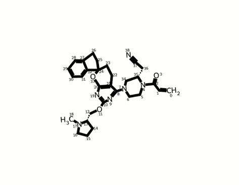 C=CC(=O)N1CCN(c2nc(OC[C@@H]3CCCN3C)nc3c2CCC2(CCc4ccccc42)O3)C[C@@H]1CC#N